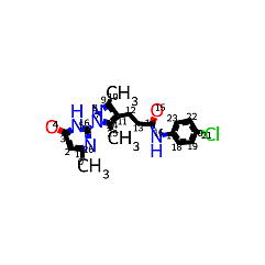 Cc1cc(=O)[nH]c(-n2nc(C)c(CCC(=O)Nc3ccc(Cl)cc3)c2C)n1